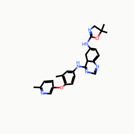 Cc1ccc(Oc2ccc(NC3=NC=NC4=CC=C(NC5=NCC(C)(C)O5)CC43)cc2C)cn1